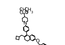 COC(OC)C1CCN(c2ccc(C3=C(CC4CCC4)CCc4cc(OCc5ccccc5)ccc43)cc2)CC1